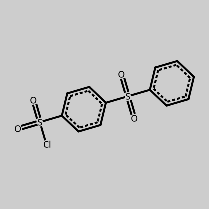 O=S(=O)(Cl)c1ccc(S(=O)(=O)c2ccccc2)cc1